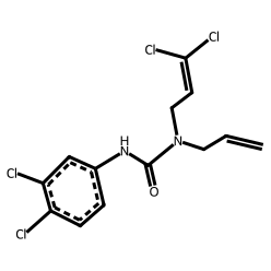 C=CCN(CC=C(Cl)Cl)C(=O)Nc1ccc(Cl)c(Cl)c1